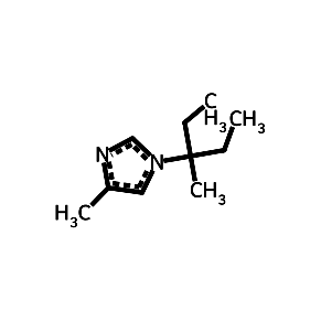 CCC(C)(CC)n1cnc(C)c1